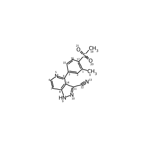 Cc1cc(-c2nccc3[nH]nc(C#N)c23)ccc1S(C)(=O)=O